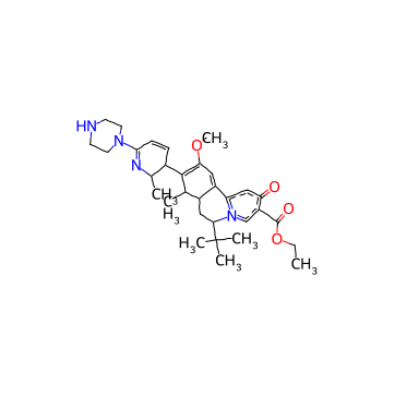 CCOC(=O)c1cn2c(cc1=O)C1=CC(OC)=C(C3C=CC(N4CCNCC4)=NC3C)C(C)C1CC2C(C)(C)C